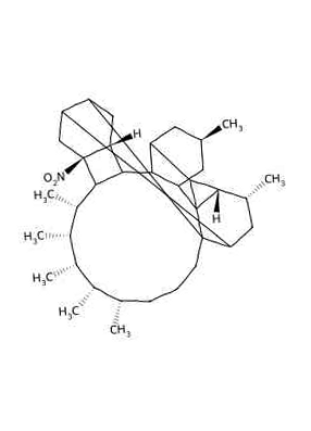 C[C@@H]1CC2C3C4C5[C@@H](C)[C@@H](C)[C@@H](C)[C@@H](C)[C@@H](C)CCCC67C(C[C@@H](C)[C@H]8C2C86C3C1)C1C[C@]5([N+](=O)[O-])[C@@H]4CC17